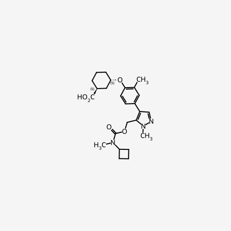 Cc1cc(-c2cnn(C)c2COC(=O)N(C)C2CCC2)ccc1O[C@H]1CCC[C@H](C(=O)O)C1